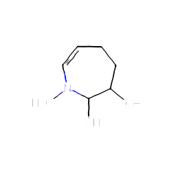 CC1CCC=CN(C)C1C